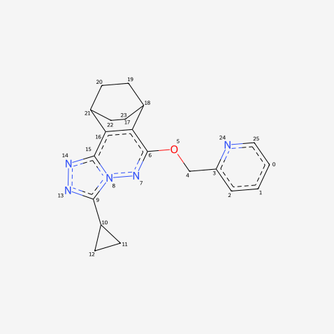 c1ccc(COc2nn3c(C4CC4)nnc3c3c2C2CCC3CC2)nc1